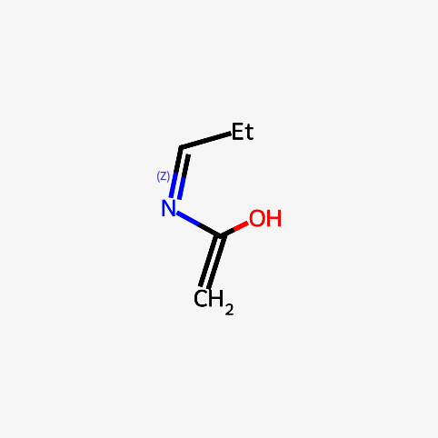 C=C(O)/N=C\CC